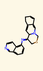 C1=CC2=CN3CSCC(=Nc4cccc5cnccc45)C3C=C2CC1